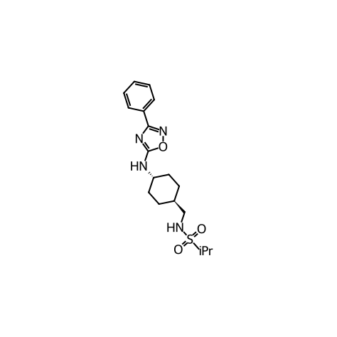 CC(C)S(=O)(=O)NC[C@H]1CC[C@H](Nc2nc(-c3ccccc3)no2)CC1